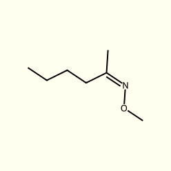 CCCC/C(C)=N\OC